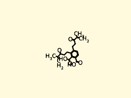 C=C(C)C(=O)CCc1ccc(C(=O)O)c(C(=O)O)c1CCC(=O)C(=C)C